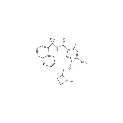 Cc1cc([N+](=O)[O-])c(OCC2CCN2C)cc1C(=O)NC1(c2cccc3ccccc23)CC1